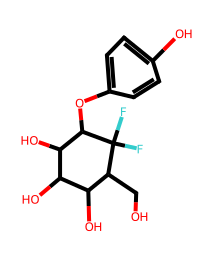 OCC1C(O)C(O)C(O)C(Oc2ccc(O)cc2)C1(F)F